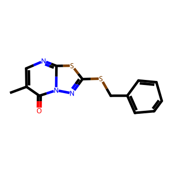 Cc1cnc2sc(SCc3ccccc3)nn2c1=O